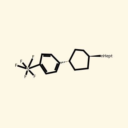 CCCCCCC[C@H]1CC[C@H](c2ccc(S(F)(F)(F)(F)F)cc2)CC1